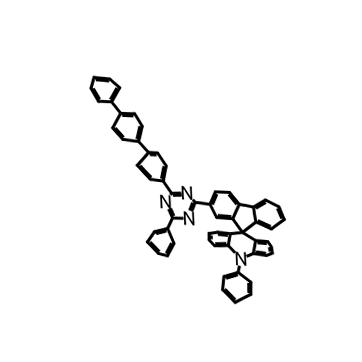 c1ccc(-c2ccc(-c3ccc(-c4nc(-c5ccccc5)nc(-c5ccc6c(c5)C5(c7ccccc7-6)c6ccccc6N(c6ccccc6)c6ccccc65)n4)cc3)cc2)cc1